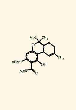 CCCCCc1cc2c(c(O)c1C(=O)NC)C1C=C(C)CCC1C(C)(C)O2